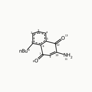 CCCCc1cccc2c1C(=O)C=C(N)C2=O